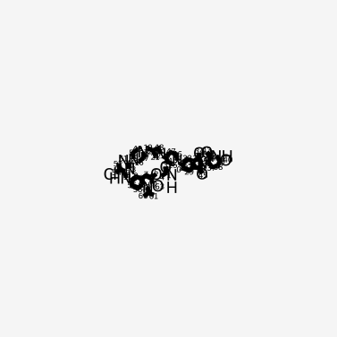 CNC(=O)COc1cc2cc(Nc3nc(N4CCN(CC5CN(C6CCN(c7ccc8c(c7)C(=O)N(C7CCC(=O)NC7=O)C8=O)CC6)C5)CC4)ncc3Cl)ccc2n(C(C)C)c1=O